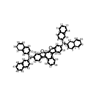 C1=CC2=CC=C(N(c3ccc4ccccc4c3)c3ccc4c(c3)oc3c5oc6cc(N(c7ccc8c(c7)CCC=C8)c7ccc8ccccc8c7)ccc6c5c5ccccc5c43)CC2C=C1